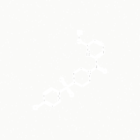 CCOc1cccc(C(=O)N2CCC(S(=O)(=O)c3ccc(Cl)cc3)CC2)n1